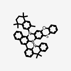 Cc1cc2c(cc1N1c3cc4c(cc3B3c5c(cc6ccccc6c51)-c1cccc5c1N3c1ccccc1C5(C)C)Sc1ccccc1O4)C(C)(C)CCC2(C)C